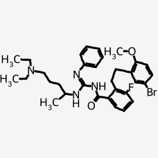 CCN(CC)CCCC(C)N/C(=N/c1ccccc1)NC(=O)c1cccc(F)c1CCc1cc(Br)ccc1OC